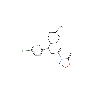 C=C(CC(c1ccc(Cl)cc1)C1CCC(CCC)CC1)N1CCOC1=C